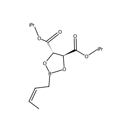 C/C=C\CB1O[C@H](C(=O)OC(C)C)[C@@H](C(=O)OC(C)C)O1